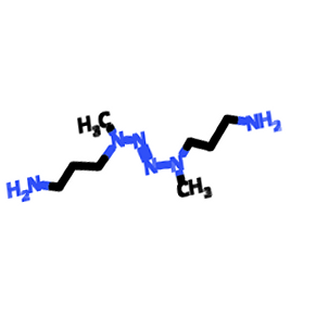 CN(CCCN)/N=N/N(C)CCCN